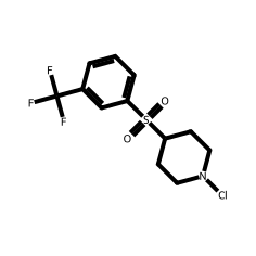 O=S(=O)(c1cccc(C(F)(F)F)c1)C1CCN(Cl)CC1